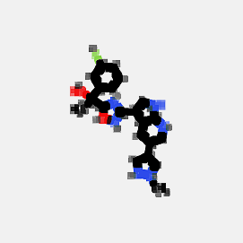 Cn1cc(-c2cnc3[nH]cc(-c4noc(C(C)(O)c5cccc(F)c5)n4)c3c2)cn1